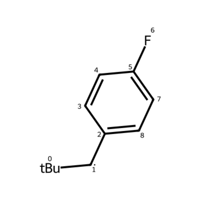 CC(C)(C)[CH]c1ccc(F)cc1